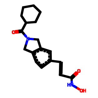 O=C(C=Cc1ccc2c(c1)CN(C(=O)C1CCCCC1)C2)NO